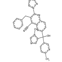 Cc1ccc(C(O)(c2ccc3nc(-n4cccn4)c(Cc4ccccc4)c(C#N)c3c2)c2cncn2C)cn1